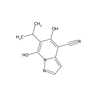 CC(C)c1c(O)c(C#N)c2ccnn2c1O